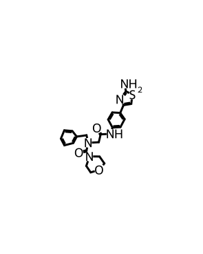 Nc1nc(-c2ccc(NC(=O)CN(Cc3ccccc3)C(=O)N3CCOCC3)cc2)cs1